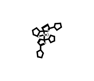 [Cl][Zr]([Cl])([C]1(C2CCCC2)C=CC(C2CCCC2)=P1)[C]1(C2CCCC2)C=CC(C2CCCC2)=P1